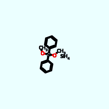 CO[Si](OC)(c1ccccc1)c1ccccc1.[SiH4]